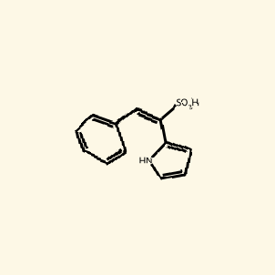 O=S(=O)(O)C(=Cc1ccccc1)c1ccc[nH]1